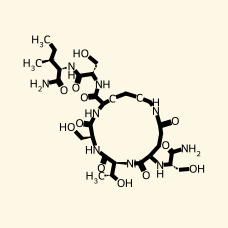 CC[C@H](C)[C@H](NC(=O)[C@H](CO)NC(=O)C1CCCCNC(=O)CCC(N[C@@H](CO)C(N)=O)C(=O)N[C@@H]([C@@H](C)O)C(=O)N[C@@H](CO)C(=O)N1)C(N)=O